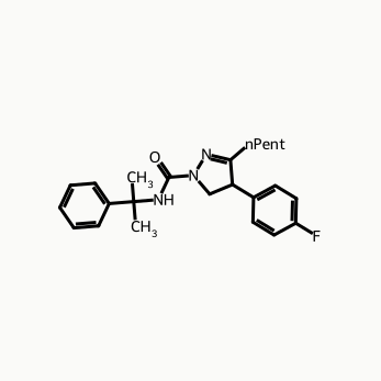 CCCCCC1=NN(C(=O)NC(C)(C)c2ccccc2)CC1c1ccc(F)cc1